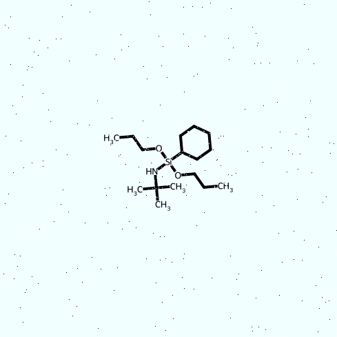 CCCO[Si](NC(C)(C)C)(OCCC)C1CCCCC1